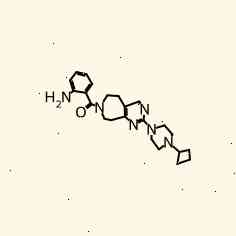 Nc1ccccc1C(=O)N1CCc2cnc(N3CCN(C4CCC4)CC3)nc2CC1